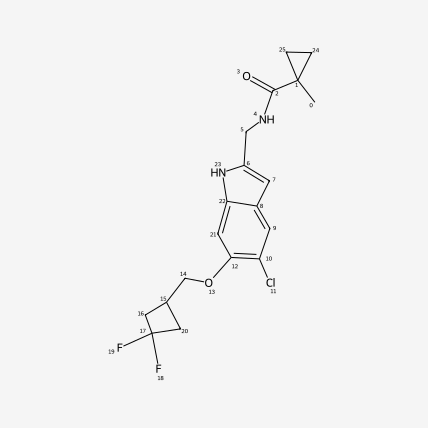 CC1(C(=O)NCc2cc3cc(Cl)c(OCC4CC(F)(F)C4)cc3[nH]2)CC1